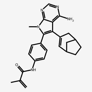 C=C(C)C(=O)Nc1ccc(-c2c(C3=CC4CCC(C3)C4)c3c(N)ncnc3n2C)cc1